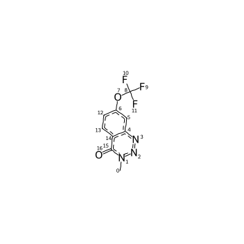 Cn1nnc2cc(OC(F)(F)F)ccc2c1=O